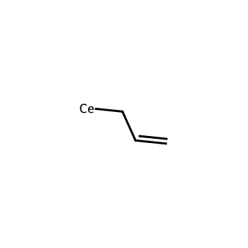 C=C[CH2][Ce]